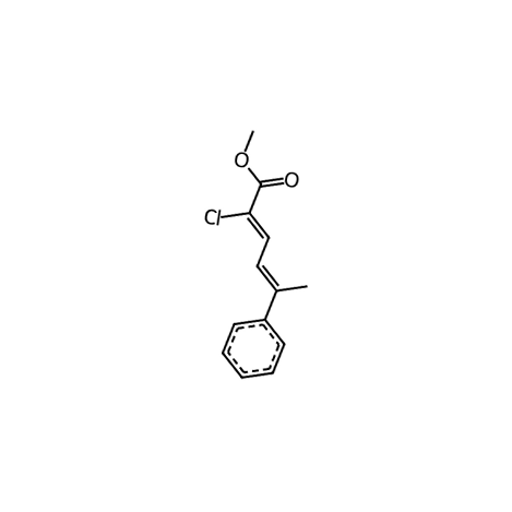 COC(=O)C(Cl)=CC=C(C)c1ccccc1